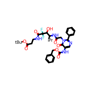 CC(C)C(NC(=O)Cn1c(-c2ccccc2)ncc(NC(=O)OCc2ccccc2)c1=O)C(O)C(F)(F)C(=O)NCCC(=O)OC(C)(C)C